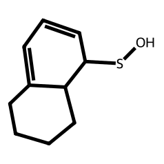 OSC1C=CC=C2CCCCC21